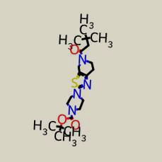 CC(C)(C)CC(=O)N1CCc2nc(N3CCN(C(=O)OC(C)(C)C)CC3)sc2C1